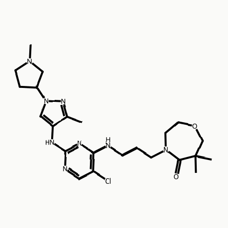 Cc1nn(C2CCN(C)C2)cc1Nc1ncc(Cl)c(NCCCN2CCOCC(C)(C)C2=O)n1